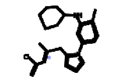 C=C(Cl)/C=C(\C)Cc1cccn1-c1ccc(C)c(NC2CCCCC2)c1